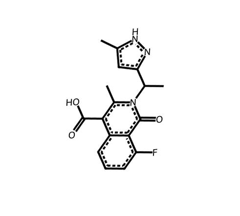 Cc1cc(C(C)n2c(C)c(C(=O)O)c3cccc(F)c3c2=O)n[nH]1